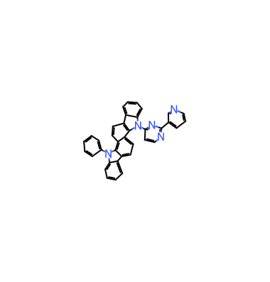 c1ccc(-n2c3ccccc3c3ccc4c(ccc5c6ccccc6n(-c6ccnc(-c7cccnc7)n6)c54)c32)cc1